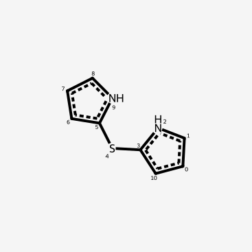 c1c[nH]c(Sc2ccc[nH]2)c1